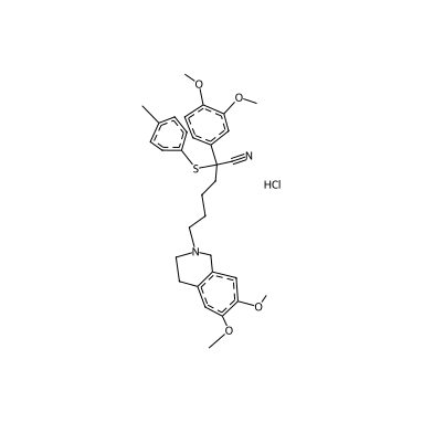 COc1ccc(C(C#N)(CCCCN2CCc3cc(OC)c(OC)cc3C2)Sc2ccc(C)cc2)cc1OC.Cl